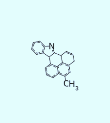 Cc1cc2c3c4c(cccc14)C1C(=Nc4ccccc41)C3C=CC2